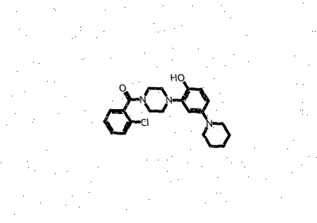 O=C(c1ccccc1Cl)N1CCN(c2cc(N3CCCCC3)ccc2O)CC1